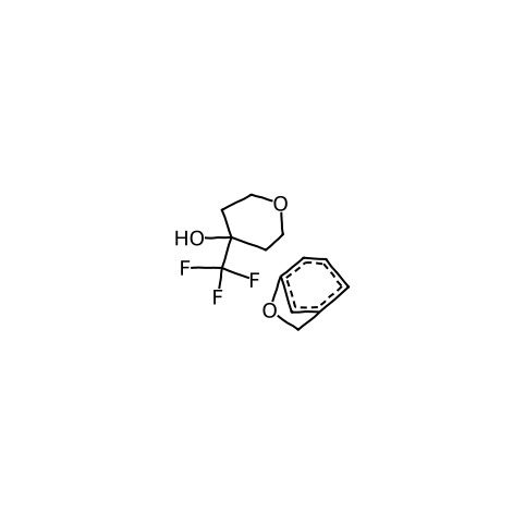 OC1(C(F)(F)F)CCOCC1.c1cc2cc(c1)OC2